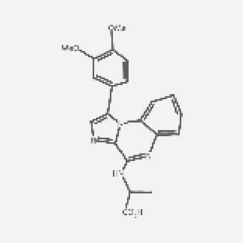 COc1ccc(-c2cnc3c(NC(C)C(=O)O)nc4ccccc4n23)cc1OC